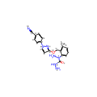 Cc1cccc(N(N)C(=O)NN)c1COc1ccn(-c2ccc(C#N)cc2)n1